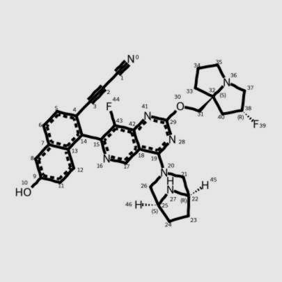 N#CC#Cc1ccc2cc(O)ccc2c1-c1ncc2c(N3C[C@H]4CC[C@@H](C3)N4)nc(OC[C@@]34CCCN3C[C@H](F)C4)nc2c1F